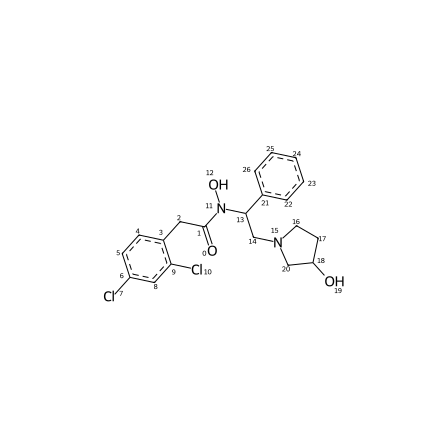 O=C(Cc1ccc(Cl)cc1Cl)N(O)C(CN1CCC(O)C1)c1ccccc1